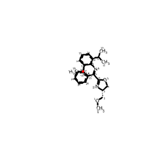 COC[C@H]1COC(/C(=N/c2c(C(C)C)cccc2C(C)C)c2ccccc2)=N1